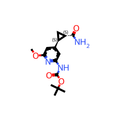 COc1cc([C@H]2C[C@@H]2C(N)=O)cc(NC(=O)OC(C)(C)C)n1